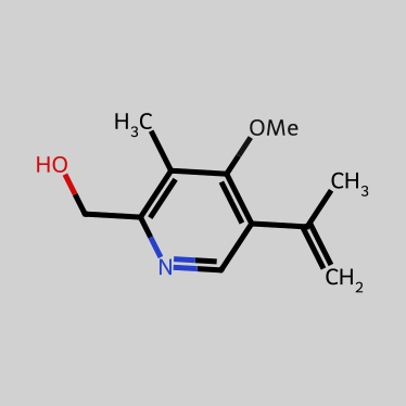 C=C(C)c1cnc(CO)c(C)c1OC